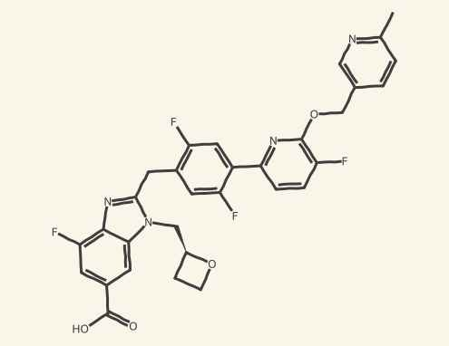 Cc1ccc(COc2nc(-c3cc(F)c(Cc4nc5c(F)cc(C(=O)O)cc5n4C[C@@H]4CCO4)cc3F)ccc2F)cn1